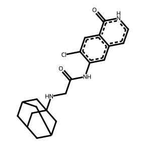 O=C(CNC12CC3CC(CC(C3)C1)C2)Nc1cc2cc[nH]c(=O)c2cc1Cl